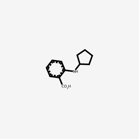 O=C(O)c1ccccc1NC1CCCC1